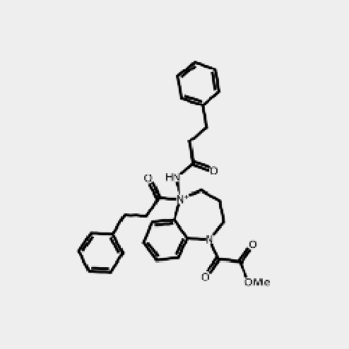 COC(=O)C(=O)N1CCC[N@@+](NC(=O)CCc2ccccc2)(C(=O)CCc2ccccc2)c2ccccc21